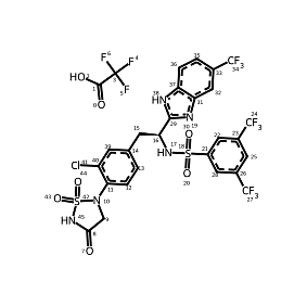 O=C(O)C(F)(F)F.O=C1CN(c2ccc(C[C@H](NS(=O)(=O)c3cc(C(F)(F)F)cc(C(F)(F)F)c3)c3nc4cc(C(F)(F)F)ccc4[nH]3)cc2Cl)S(=O)(=O)N1